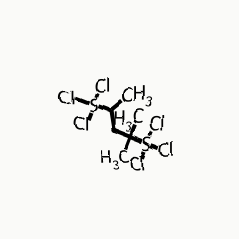 CC(CC(C)(C)S(Cl)(Cl)Cl)S(Cl)(Cl)Cl